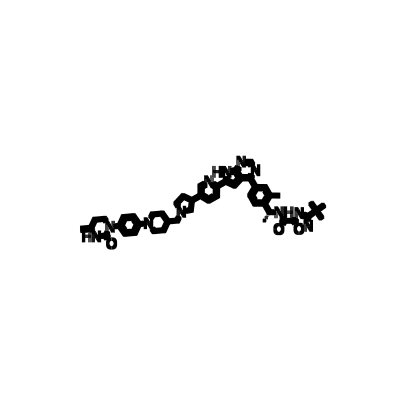 C=C1CCN(c2ccc(N3CCC(CN4CCC(c5ccc(-c6cc7c(-c8ccc([C@@H](C)NC(=O)c9nc(C(C)(C)C)no9)c(C)c8)ncnc7[nH]6)nc5)C4)CC3)cc2)C(=O)N1